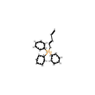 C=CC=CC[PH](c1ccccc1)(c1ccccc1)c1ccccc1